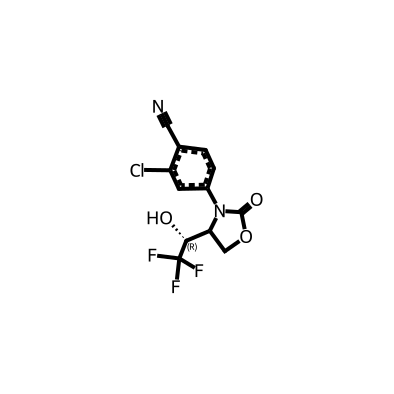 N#Cc1ccc(N2C(=O)OCC2[C@@H](O)C(F)(F)F)cc1Cl